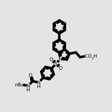 CCCCNC(=O)Nc1ccc(S(=O)(=O)n2cc(CCC(=O)O)c3cc(-c4ccccc4)ccc32)cc1